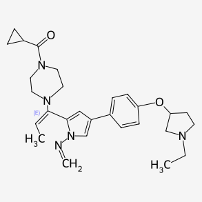 C=Nn1cc(-c2ccc(OC3CCN(CC)C3)cc2)cc1/C(=C\C)N1CCN(C(=O)C2CC2)CC1